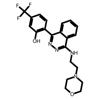 Oc1cc(C(F)(F)F)ccc1-c1nnc(NCCN2CCOCC2)c2ccccc12